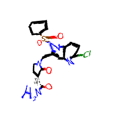 NC(=O)[C@@H]1CCN(Cc2cc3nc(Cl)ccc3n2S(=O)(=O)c2ccccc2)C1=O